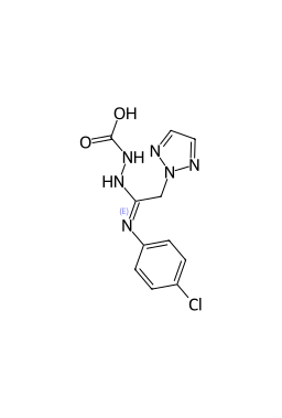 O=C(O)NN/C(Cn1nccn1)=N/c1ccc(Cl)cc1